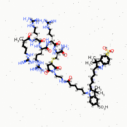 C[C@H](CCCNC(=N)N)C(=O)N[C@H](CCCNC(=N)N)C(=O)N[C@H](CCCNC(=N)N)C(=O)N[C@H](CCCNC(=N)N)C(=O)N[C@H](CSC1CC(=O)N(CCNC(=O)CCCCCN2/C(=C/C=C/C=C/C3=Nc4ccc([SH](=O)=O)cc4C3(C)C)C(C)(C)c3cc(S(=O)(=O)O)ccc32)C1=O)C(N)=O